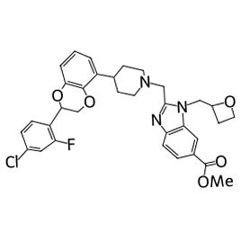 COC(=O)c1ccc2nc(CN3CCC(c4cccc5c4OCC(c4ccc(Cl)cc4F)O5)CC3)n(CC3CCO3)c2c1